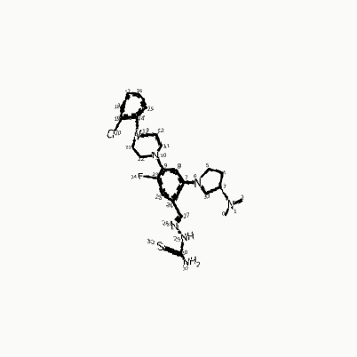 CN(C)[C@@H]1CCN(c2cc(N3CCN(c4ccccc4Cl)CC3)c(F)cc2/C=N/NC(N)=S)C1